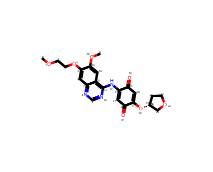 COCCOc1cc2ncnc(NC3=CC(=O)C(O[C@@H]4CCOC4)=CC3=O)c2cc1OC